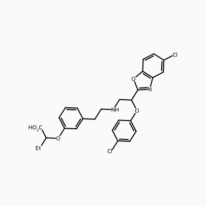 CCC(Oc1cccc(CCNCC(Oc2ccc(Cl)cc2)c2nc3cc(Cl)ccc3o2)c1)C(=O)O